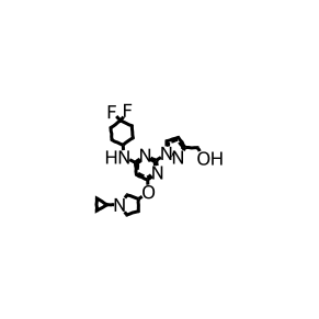 OCc1ccn(-c2nc(NC3CCC(F)(F)CC3)cc(OC3CCN(C4CC4)C3)n2)n1